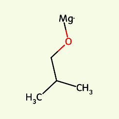 CC(C)C[O][Mg]